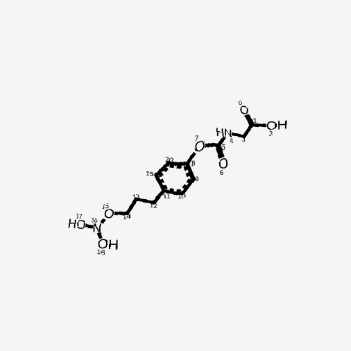 O=C(O)CNC(=O)Oc1ccc(CCCON(O)O)cc1